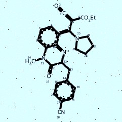 CCOC(=O)C(=C=O)C(=c1cccc2c1=NC(Cc1ccc(C#N)cc1)C(=O)N2C)N1CCCC1